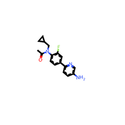 CC(=O)N(CC1CC1)c1ccc(-c2ccc(N)cn2)cc1F